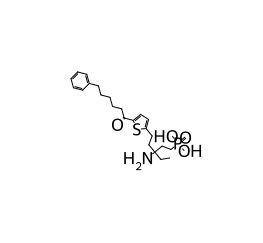 CCC(N)(CCc1ccc(C(=O)CCCCCc2ccccc2)s1)CCP(=O)(O)O